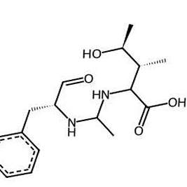 CC(NC(C(=O)O)[C@@H](C)[C@H](C)O)N[C@@H](C=O)Cc1ccccc1